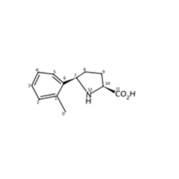 Cc1ccccc1[C@H]1CC[C@@H](C(=O)O)N1